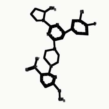 COc1ccc([N+](=O)[O-])c(N2CCN(c3cc(-c4ccc(F)c(Cl)c4)nc(N4CCCC4C)n3)CC2)n1